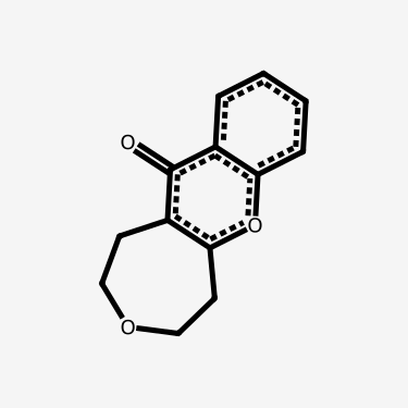 O=c1c2c(oc3ccccc13)CCOCC2